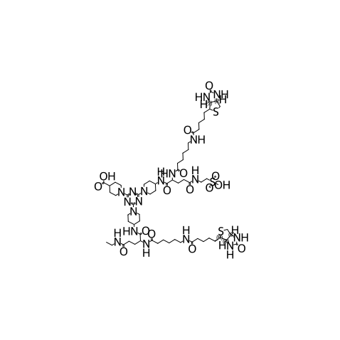 CCNC(=O)CCC(NC(=O)CCCCCNC(=O)CCCC[C@H]1SC[C@H]2NC(=O)N[C@H]21)C(=O)NC1CCN(c2nc(N3CCC(NC(=O)C(CCC(=O)NCCS(=O)(=O)O)NC(=O)CCCCCNC(=O)CCCCC4SC[C@@H]5NC(=O)N[C@H]45)CC3)nc(N3CCC(C(=O)O)CC3)n2)CC1